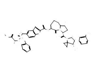 CCCOC(=O)[C@H](C)NP(=O)(Oc1ccccc1)[C@@H](F)c1ccc2sc(C(=O)NC3CCC[C@H]4CC[C@@H](C(=O)N5C[C@H](c6cccc(C)c6)[C@@H](C)C56CC6)N4C3=O)cc2c1